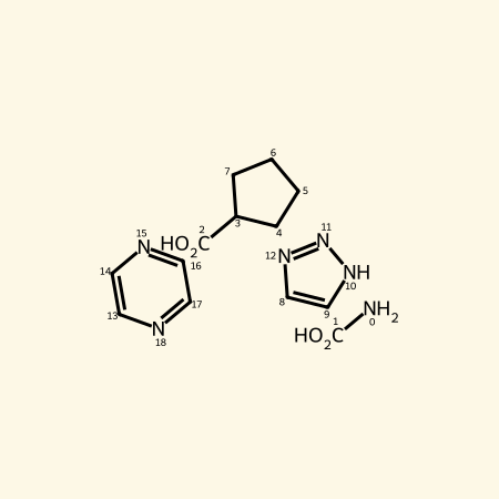 NC(=O)O.O=C(O)C1CCCC1.c1c[nH]nn1.c1cnccn1